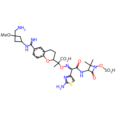 COC1(CN)CC(NC(=N)c2ccc3c(c2)CCC(C(C)(ON=C(C(=O)NC2C(=O)N(OS(=O)(=O)O)C2(C)C)c2csc(N)n2)C(=O)O)O3)C1